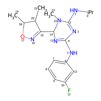 CC(C)NC1=NC(Nc2cccc(F)c2)=NC(C2=NOC(C)C2C)N1C